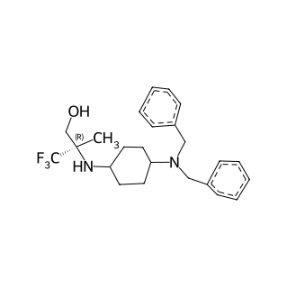 C[C@](CO)(NC1CCC(N(Cc2ccccc2)Cc2ccccc2)CC1)C(F)(F)F